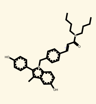 CCCCN(CCCC)C(=O)/C=C/c1ccc(Cn2c(-c3ccc(O)cc3)c(C)c3cc(O)ccc32)cc1